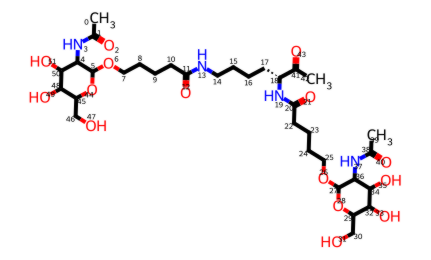 CC(=O)NC1C(OCCCCC(=O)NCCCC[C@@H](NC(=O)CCCCOC2OC(CO)C(O)C(O)C2NC(C)=O)C(C)=O)OC(CO)C(O)C1O